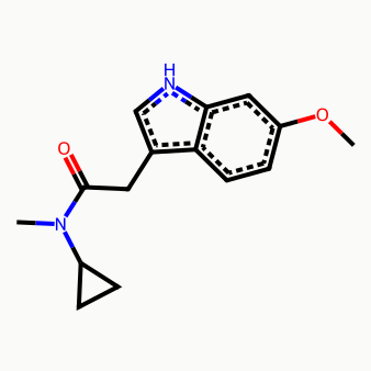 COc1ccc2c(CC(=O)N(C)C3CC3)c[nH]c2c1